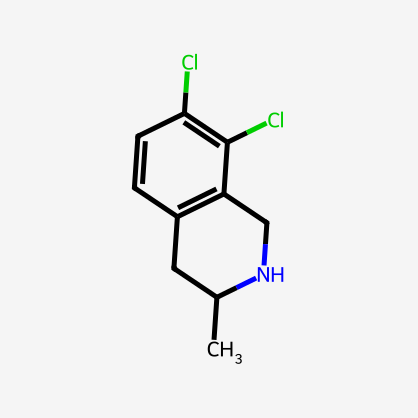 CC1Cc2ccc(Cl)c(Cl)c2CN1